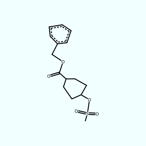 CS(=O)(=O)OC1CCC(C(=O)OCc2ccccc2)CC1